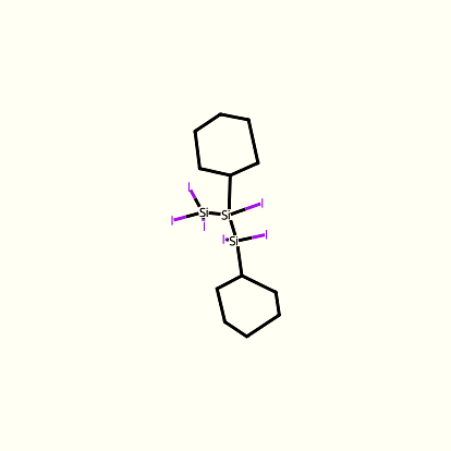 I[Si](I)(I)[Si](I)(C1CCCCC1)[Si](I)(I)C1CCCCC1